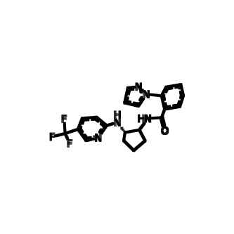 O=C(NC1CCC[C@@H]1Nc1ccc(C(F)(F)F)cn1)c1ccccc1-n1cccn1